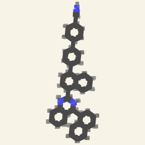 N#Cc1ccc(-c2ccc(-c3ccc(-c4nc(-c5cccc6ccccc56)c5ccccc5n4)c4ccccc34)cc2)cc1